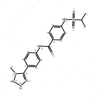 CC(C)S(=O)(=O)Nc1ccc(C(=O)Nc2ccc(C3=NNNN3C)cc2)cc1